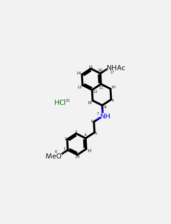 COc1ccc(CCNC2CCc3c(cccc3NC(C)=O)C2)cc1.Cl